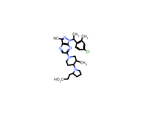 Cc1cc(Cl)ccc1C(C)n1nc(C#N)c2ncc(N3CCC(N4CCCC4CCC(=O)O)C(C)C3)nc21